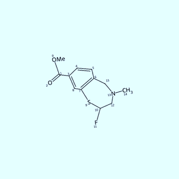 COC(=O)c1ccc2c(c1)SC(F)CN(C)C2